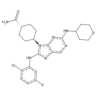 NC(=O)[C@H]1CC[C@H](n2c(Nc3cc(F)ccc3Cl)nc3cnc(NC4CCOCC4)nc32)CC1